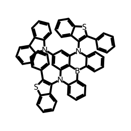 c1ccc(-c2sc3ccccc3c2N2c3ccccc3B3c4ccccc4N(c4c(-c5ccccc5)sc5ccccc45)c4cc(-n5c6ccccc6c6ccccc65)cc2c43)cc1